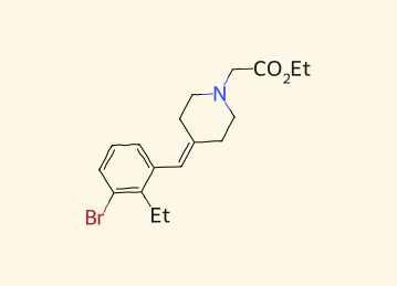 CCOC(=O)CN1CCC(=Cc2cccc(Br)c2CC)CC1